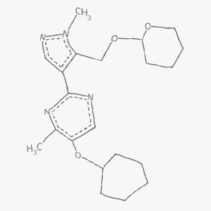 Cc1nc(-c2cnn(C)c2COC2CCCCO2)ncc1OC1CCCCC1